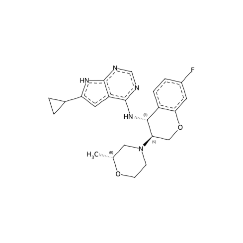 C[C@@H]1CN([C@@H]2COc3cc(F)ccc3[C@H]2Nc2ncnc3[nH]c(C4CC4)cc23)CCO1